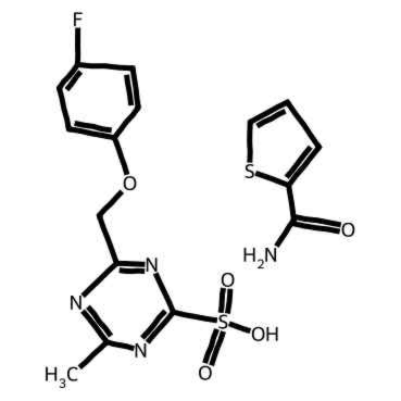 Cc1nc(COc2ccc(F)cc2)nc(S(=O)(=O)O)n1.NC(=O)c1cccs1